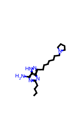 CCCCc1nc(N)c2[nH]nc(CCCCCCCN3CCCC3)c2n1